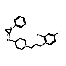 Clc1ccc(OCCN2CCC(N[C@@H]3C[C@H]3c3ccccc3)CC2)c(Cl)c1